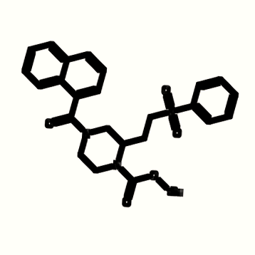 CC(C)(C)OC(=O)N1CCN(C(=O)c2cccc3ccccc23)CC1CCS(=O)(=O)c1ccccc1